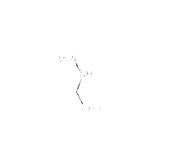 CNNCC=O